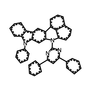 c1ccc(-c2cc(-c3ccccc3)nc(N3c4cc5c(cc4-c4cccc6cccc3c46)c3ccccc3n5-c3ccccc3)n2)cc1